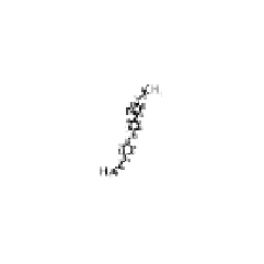 CCCCc1ccc(-c2ccc(CC[C@H]3CC[C@H](CCCC)CC3)cc2)nn1